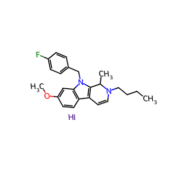 CCCCN1C=Cc2c(n(Cc3ccc(F)cc3)c3cc(OC)ccc23)C1C.I